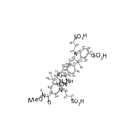 CON(C)C(=O)c1cc2c([n+](CCCS(=O)(=O)O)c1)N=C(/C=C/C=C/C=C1/N(CCCS(=O)(=O)O)c3ccc(S(=O)(=O)O)cc3C1(C)c1ccc(C(=O)NN)cc1)C2(C)C